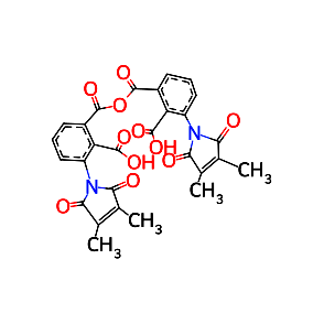 CC1=C(C)C(=O)N(c2cccc(C(=O)OC(=O)c3cccc(N4C(=O)C(C)=C(C)C4=O)c3C(=O)O)c2C(=O)O)C1=O